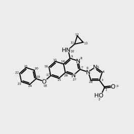 O=C(O)c1cnn(-c2nc(NC3CC3)c3ccc(Oc4ccccc4)cc3n2)c1